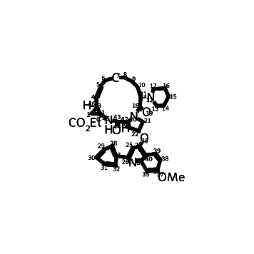 CCOC(=O)[C@@]12C[C@H]1/C=C\CCCCC[C@H](N1CCCCC1)C(=O)N1C[C@H](Oc3cc(-c4ccccc4)nc4cc(OC)ccc34)C[C@H]1C(=O)N2